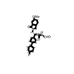 COc1ccc2c(c1)C(=O)N(C[C@H](NC(=O)NC=O)c1ccc(-c3ccc(F)cc3)cc1)C2